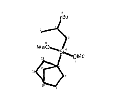 CCCCC(C)C[Si](OC)(OC)C12CCC(CC1)C2